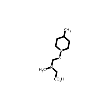 CC1CCN(SCN(C)CC(=O)O)CC1